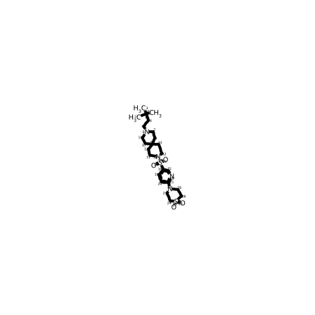 CC(C)(C)CCN1CCC2(CC1)CCN(S(=O)(=O)c1ccc(N3CCS(=O)(=O)CC3)nc1)CC2